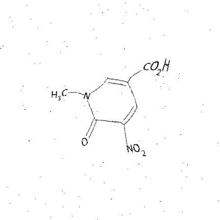 Cn1cc(C(=O)O)cc([N+](=O)[O-])c1=O